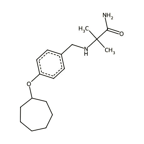 CC(C)(NCc1ccc(OC2CCCCCC2)cc1)C(N)=O